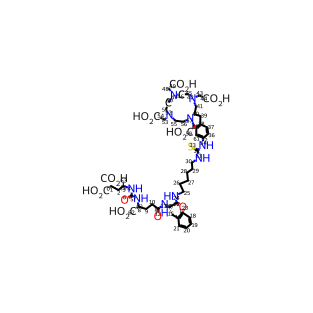 O=C(O)CC[C@H](NC(=O)N[C@@H](CCC(=O)N[C@@H](Cc1ccccc1)C(=O)NCCCCCCNC(=S)Nc1ccc(CC2CN(CC(=O)O)CCN(CC(=O)O)CCN(CC(=O)O)CCN2CC(=O)O)cc1)C(=O)O)C(=O)O